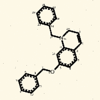 C1=Cc2ccc(OCc3ccccc3)cc2N(Cc2ccccc2)C1